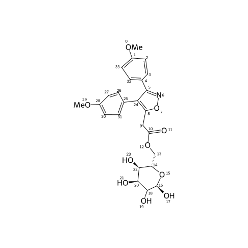 COc1ccc(-c2noc(CC(=O)OC[C@@H]3O[C@@H](O)C(O)[C@@H](O)[C@H]3O)c2-c2ccc(OC)cc2)cc1